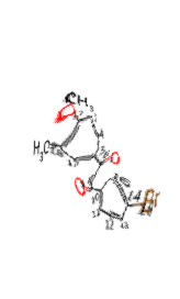 COc1ccc(C(=O)C(=O)c2cccc(Br)c2)cc1C